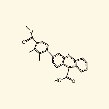 COC(=O)c1ccc(-c2ccc3c(C(=O)O)c4ccccc4nc3c2)c(C)c1C